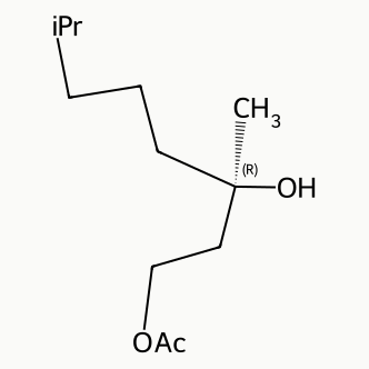 CC(=O)OCC[C@](C)(O)CCCC(C)C